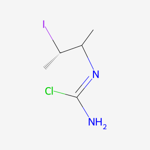 CC(N=C(N)Cl)[C@H](C)I